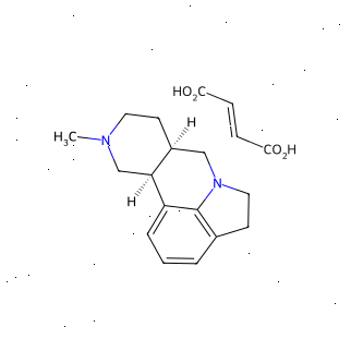 CN1CC[C@H]2CN3CCc4cccc(c43)[C@H]2C1.O=C(O)/C=C/C(=O)O